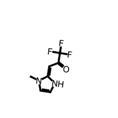 CN1C=CN/C1=C\C(=O)C(F)(F)F